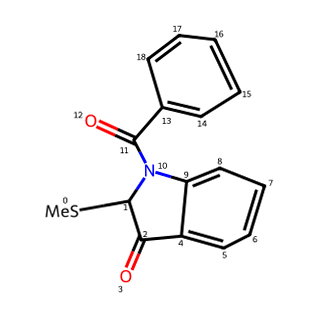 CSC1C(=O)c2ccccc2N1C(=O)c1ccccc1